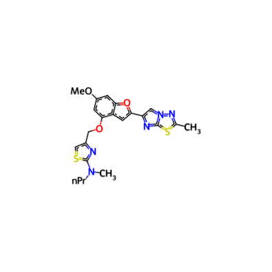 CCCN(C)c1nc(COc2cc(OC)cc3oc(-c4cn5nc(C)sc5n4)cc23)cs1